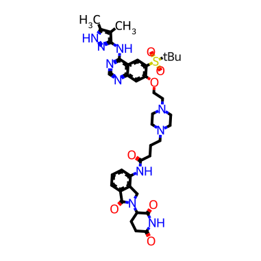 Cc1[nH]nc(Nc2ncnc3cc(OCCN4CCN(CCCC(=O)Nc5cccc6c5CN(C5CCC(=O)NC5=O)C6=O)CC4)c(S(=O)(=O)C(C)(C)C)cc23)c1C